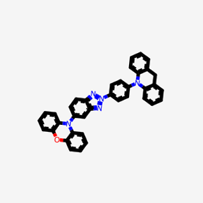 c1ccc2c(c1)Cc1ccccc1N2c1ccc(-n2nc3ccc(N4c5ccccc5Oc5ccccc54)cc3n2)cc1